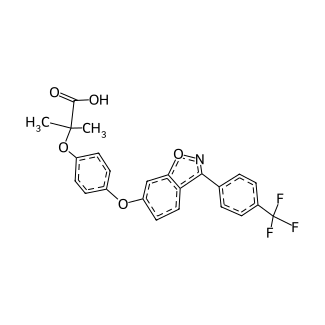 CC(C)(Oc1ccc(Oc2ccc3c(-c4ccc(C(F)(F)F)cc4)noc3c2)cc1)C(=O)O